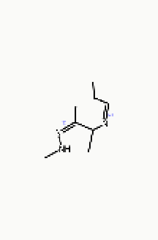 CC/C=N\C(C)/C(C)=N\NC